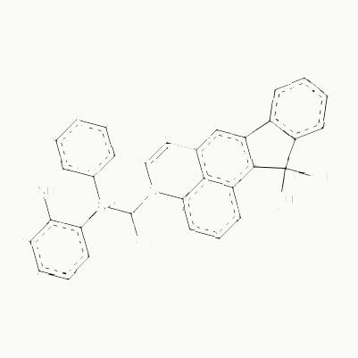 CC(N1C=Cc2cc3c(c4cccc1c24)C(C)(C)c1ccccc1-3)N(c1ccccc1)c1ccccc1N